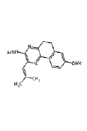 COc1ccc2c(c1)CCc1nc(NC(C)=O)c(C=C(C)C)nc1-2